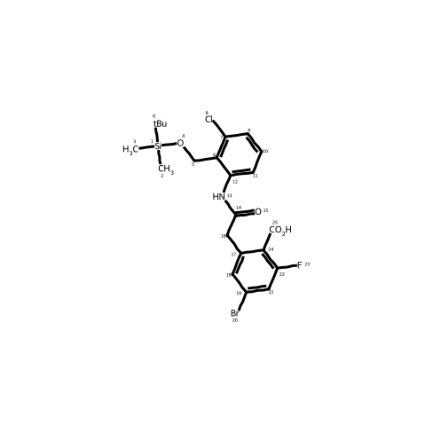 CC(C)(C)[Si](C)(C)OCc1c(Cl)cccc1NC(=O)Cc1cc(Br)cc(F)c1C(=O)O